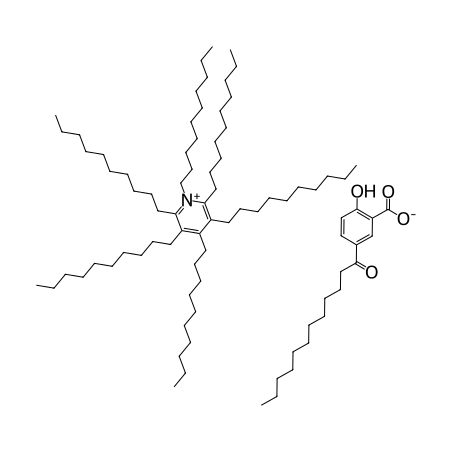 CCCCCCCCCCCC(=O)c1ccc(O)c(C(=O)[O-])c1.CCCCCCCCCCc1c(CCCCCCCCCC)c(CCCCCCCCCC)[n+](CCCCCCCCCC)c(CCCCCCCCCC)c1CCCCCCCCCC